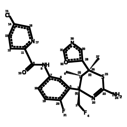 C[C@H]1[C@@](CF)(c2cc(NC(=O)c3ccc(Cl)cn3)ccc2F)N=C(N)S[C@]1(C)c1cnco1